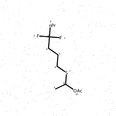 CCCC(F)(F)CCCSC(C)OC(C)=O